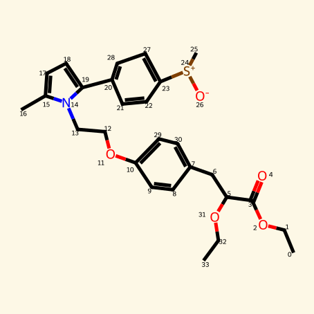 CCOC(=O)C(Cc1ccc(OCCn2c(C)ccc2-c2ccc([S+](C)[O-])cc2)cc1)OCC